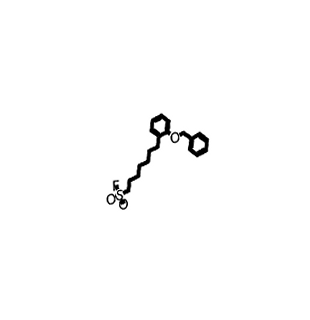 O=S(=O)(F)CCCCCCCc1ccccc1OCc1ccccc1